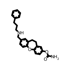 NC(=O)Oc1ccc2c(c1)CCc1cc(CNCCCc3ccccc3)ccc1O2